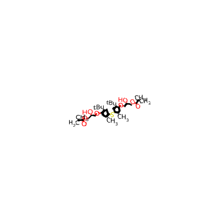 C=C(C)C(=O)OCC(O)COc1cc(C)c(Sc2cc(C(C)(C)C)c(OCC(O)COC(=O)C(=C)C)cc2C)cc1C(C)(C)C